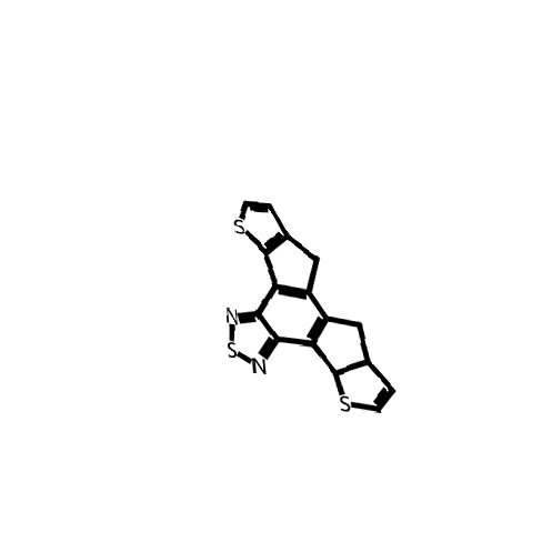 C1=CC2Cc3c4c(c5nsnc5c3C2S1)-c1sccc1C4